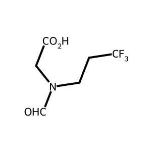 O=CN(CCC(F)(F)F)CC(=O)O